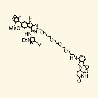 CCn1nc(C2CC2)cc1Nc1nc(COCCCOCCOCCOCCCNc2cccc3c2CN(C2CCC(=O)NC2=O)C3=O)nc2[nH]c3cc(-c4c(C)noc4C)c(OC)cc3c12